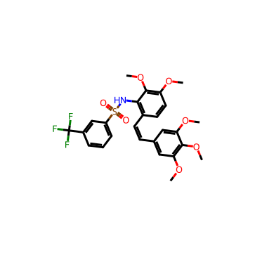 COc1cc(/C=C\c2ccc(OC)c(OC)c2NS(=O)(=O)c2cccc(C(F)(F)F)c2)cc(OC)c1OC